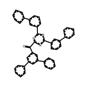 O=C(c1cc(-c2ccccc2)cc(-c2ccccc2)c1)c1nc(-c2cccc(-c3ccccc3)c2)nc(-c2cccc(-c3ccccc3)c2)n1